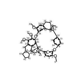 COc1ccc2cc1Oc1ccc(cc1)C[C@H]1c3cc(c(OC)cc3CCN1C)Oc1c(OC)c(OC)c(CN3CCCC3)c3c1[C@H](C2)N(C)CC3